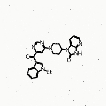 CCn1cc(C(=O)c2cc(N3CCC(n4c(=O)[nH]c5ncccc54)CC3)ncn2)c2ccccc21